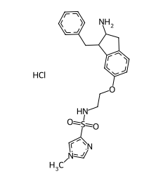 Cl.Cn1cnc(S(=O)(=O)NCCOc2ccc3c(c2)C(Cc2ccccc2)C(N)C3)c1